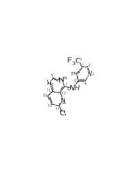 FC(F)(F)c1cncc(Nc2ncnc3ccc(Cl)nc23)c1